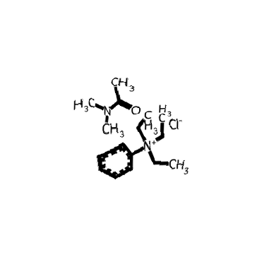 CC(=O)N(C)C.CC[N+](CC)(CC)c1ccccc1.[Cl-]